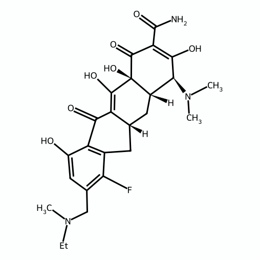 CCN(C)Cc1cc(O)c2c(c1F)C[C@H]1C[C@H]3[C@H](N(C)C)C(O)=C(C(N)=O)C(=O)[C@@]3(O)C(O)=C1C2=O